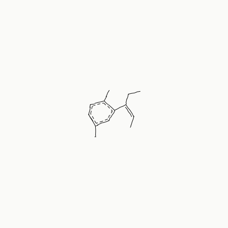 C/C=C(/CC)c1cc(C)ccc1C